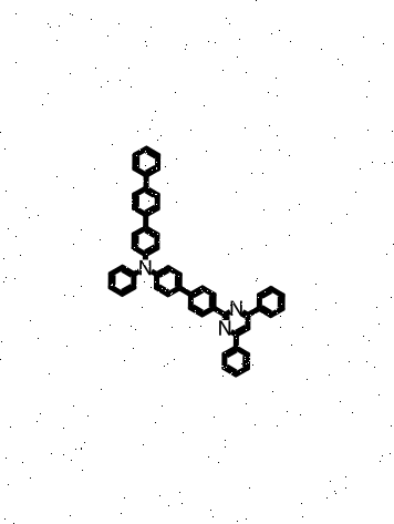 c1ccc(-c2ccc(-c3ccc(N(c4ccccc4)c4ccc(-c5ccc(-c6nc(-c7ccccc7)cc(-c7ccccc7)n6)cc5)cc4)cc3)cc2)cc1